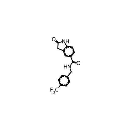 O=C1Cc2cc(C(=O)NCc3ccc(C(F)(F)F)cc3)ccc2N1